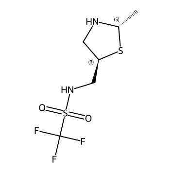 C[C@H]1NC[C@H](CNS(=O)(=O)C(F)(F)F)S1